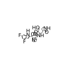 O=C1NCCC1CC(NC(=O)C1C2CCC(CC2)N1C(=O)c1cc2c(F)cc(F)cc2[nH]1)C(=O)CO